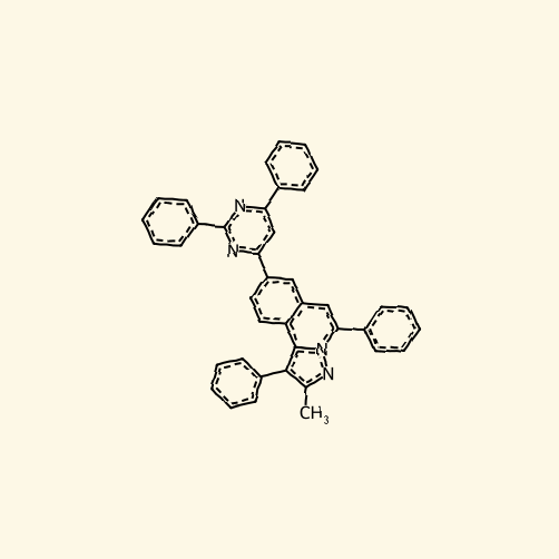 Cc1nn2c(-c3ccccc3)cc3cc(-c4cc(-c5ccccc5)nc(-c5ccccc5)n4)ccc3c2c1-c1ccccc1